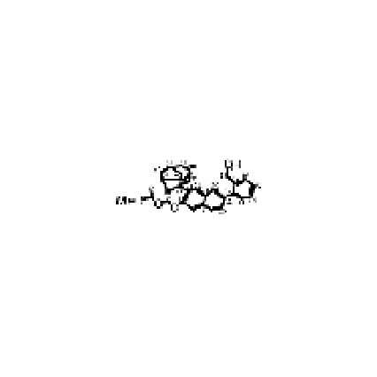 COC(C)OCOc1cc2ccc(-c3ccccc3CO)cc2cc1C12CC3CC(CC(C3)C1)C2